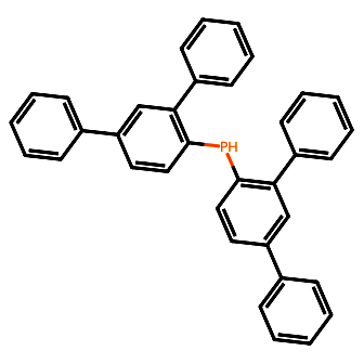 c1ccc(-c2ccc(Pc3ccc(-c4ccccc4)cc3-c3ccccc3)c(-c3ccccc3)c2)cc1